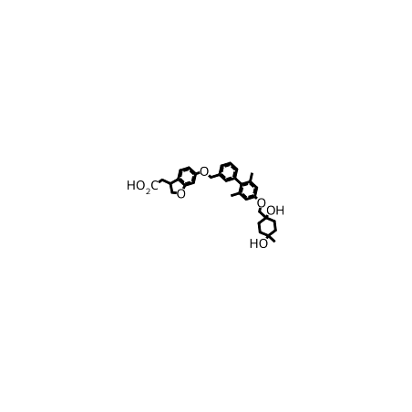 Cc1cc(OCC2(O)CCC(C)(O)CC2)cc(C)c1-c1cccc(COc2ccc3c(c2)OCC3CC(=O)O)c1